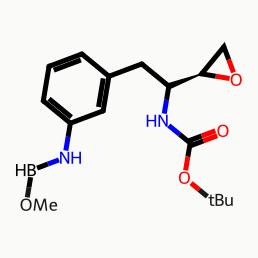 COBNc1cccc(CC(NC(=O)OC(C)(C)C)[C@H]2CO2)c1